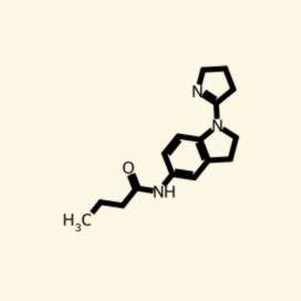 CCCC(=O)Nc1ccc2c(c1)CCN2C1=NCCC1